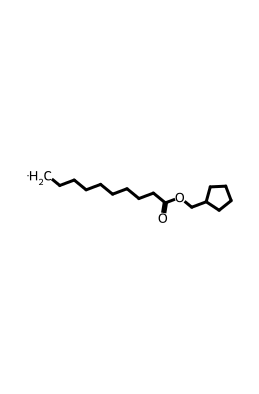 [CH2]CCCCCCCCC(=O)OCC1CCCC1